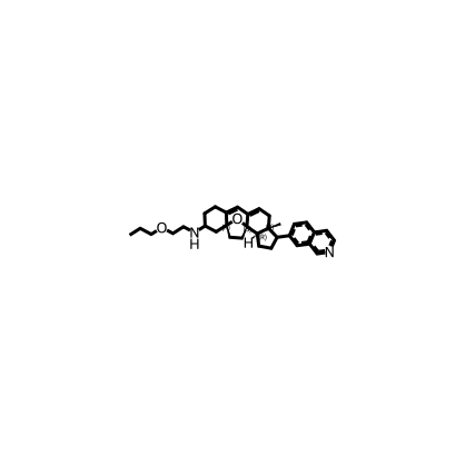 CCCOCCNC1CCC2=CC3=CC[C@]4(C)C(c5ccc6ccncc6c5)CC[C@H]4[C@@]34CC[C@]2(C1)O4